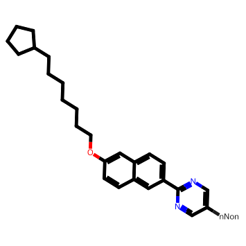 CCCCCCCCCc1cnc(-c2ccc3cc(OCCCCCCCC4CCCC4)ccc3c2)nc1